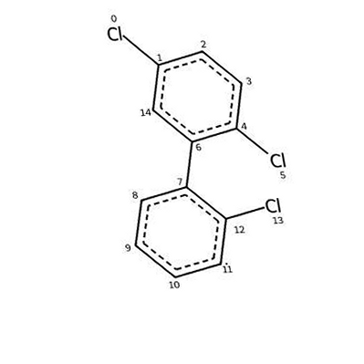 Clc1ccc(Cl)c(-c2ccc[c]c2Cl)c1